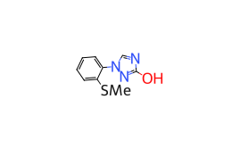 CSc1ccccc1-n1cnc(O)n1